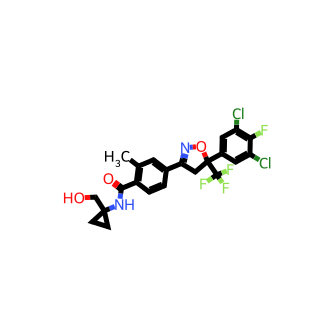 Cc1cc(C2=NOC(c3cc(Cl)c(F)c(Cl)c3)(C(F)(F)F)C2)ccc1C(=O)NC1(CO)CC1